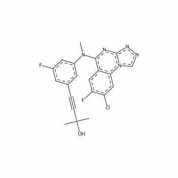 CN(c1cc(F)cc(C#CC(C)(C)O)c1)c1nc2nncn2c2cc(Cl)c(F)cc12